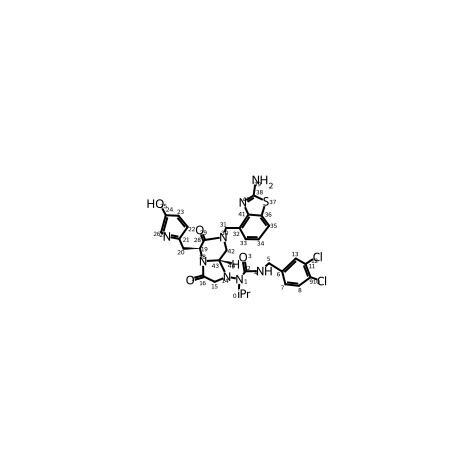 CC(C)N(C(=O)NCc1ccc(Cl)c(Cl)c1)N1CC(=O)N2[C@@H](Cc3ccc(O)cn3)C(=O)N(Cc3cccc4sc(N)nc34)C[C@@H]21